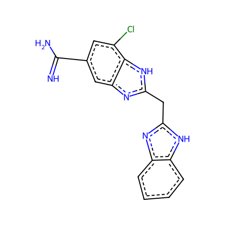 N=C(N)c1cc(Cl)c2[nH]c(Cc3nc4ccccc4[nH]3)nc2c1